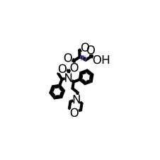 O=C/C(=C\C(=O)O)C(=O)OC1OCC(c2ccccc2)N1C(CCN1CCOCC1)c1ccccc1